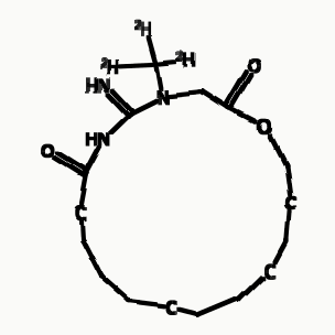 [2H]C([2H])([2H])N1CC(=O)OCCCCCCCCCCCC(=O)NC1=N